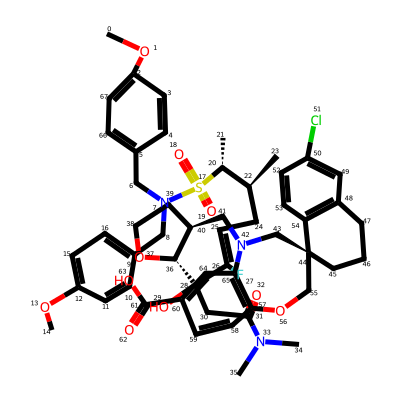 COc1ccc(CN(Cc2ccc(OC)cc2)S(=O)(=O)[C@H](C)[C@@H](C)C/C=C(\F)C(O)(CC(=O)N(C)C)[C@@H]2OCC[C@H]2CN2C[C@@]3(CCCc4cc(Cl)ccc43)COc3ccc(C(=O)O)cc32)cc1